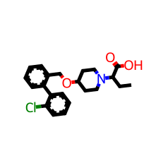 CCC(C(=O)O)N1CCC(OCc2ccccc2-c2ccccc2Cl)CC1